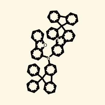 c1ccc(C2(c3ccccc3)c3ccccc3-c3ccc(N(c4ccc5c(c4)oc4c(C6(c7ccccc7)c7ccccc7-c7ccccc76)cccc45)c4cccc5c4oc4ccccc45)cc32)cc1